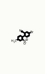 Cc1ccc(-c2ccc(Br)cc2C#N)c([N+](=O)[O-])c1